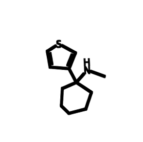 CNC1(c2ccsc2)CCCCC1